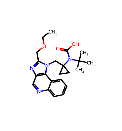 CCOCc1nc2cnc3ccccc3c2n1CC1(N(C(=O)O)C(C)(C)C)CC1